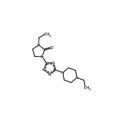 CCN1CCN(c2nnc(N3CCN(CC)C3=O)s2)CC1